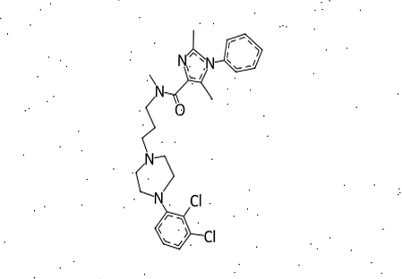 Cc1nc(C(=O)N(C)CCCN2CCN(c3cccc(Cl)c3Cl)CC2)c(C)n1-c1ccccc1